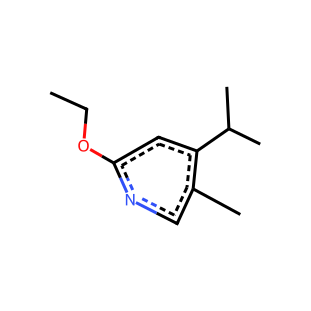 CCOc1cc(C(C)C)c(C)cn1